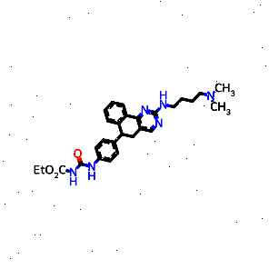 CCOC(=O)NC(=O)Nc1ccc(C2Cc3cnc(NCCCCN(C)C)nc3-c3ccccc32)cc1